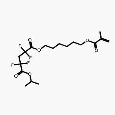 C=C(C)C(=O)OCCCCCCOC(=O)C(F)(F)CC(F)(F)C(=O)OC(C)C